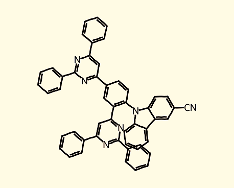 N#Cc1ccc2c(c1)c1ccccc1n2-c1ccc(-c2cc(-c3ccccc3)nc(-c3ccccc3)n2)cc1-c1cc(-c2ccccc2)nc(-c2ccccc2)n1